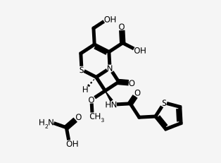 CO[C@@]1(NC(=O)Cc2cccs2)C(=O)N2C(C(=O)O)=C(CO)CS[C@@H]21.NC(=O)O